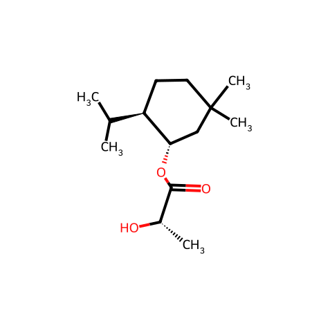 CC(C)[C@H]1CCC(C)(C)C[C@@H]1OC(=O)[C@H](C)O